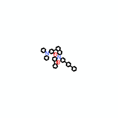 c1ccc(-c2ccc(-c3ccc(N(c4ccc5cccc6c5c4Oc4cc(N(c5ccccc5)c5ccccc5)ccc4-6)c4cccc5c4oc4ccccc45)cc3)cc2)cc1